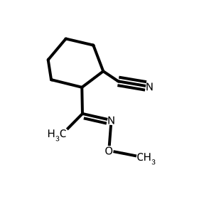 CON=C(C)C1CCCCC1C#N